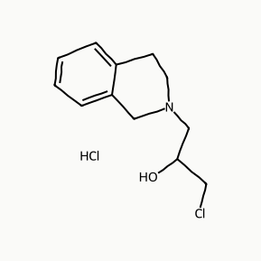 Cl.OC(CCl)CN1CCc2ccccc2C1